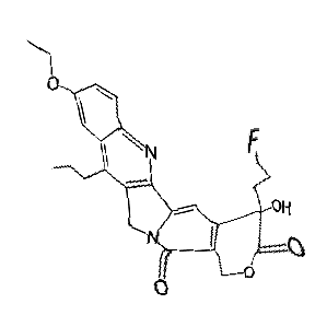 CCOc1ccc2nc3c(c(CC)c2c1)Cn1c-3cc2c(c1=O)COC(=O)C2(O)CCF